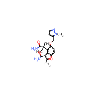 Cc1oc2ccc(OCc3ccnn3C)c(C(C)(C)C(N)=O)c2c1C(N)=O